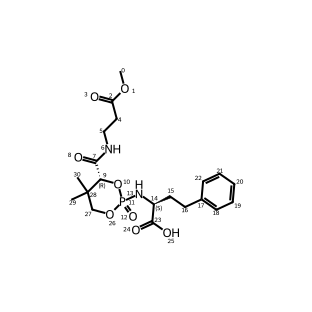 COC(=O)CCNC(=O)[C@@H]1OP(=O)(N[C@@H](CCc2ccccc2)C(=O)O)OCC1(C)C